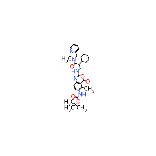 Cc1c(NC(=O)OC(C)(C)C)ccc2nc(NCC(C(=O)N(C)Cc3ccccn3)C3CCCCC3)oc(=O)c12